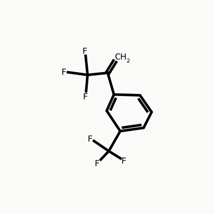 C=C(c1cccc(C(F)(F)F)c1)C(F)(F)F